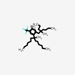 Bc1cc(CC(C)(CCC)CCCC)c(C(C)(CCCCCC)CCCCCC)cc1C(F)(F)F